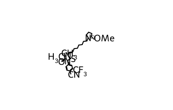 COC[C@@H]1CCCN1CCCCCCCCN1C(=S)N(c2ccc(C#N)c(C(F)(F)F)c2)C(=O)C1(C)C